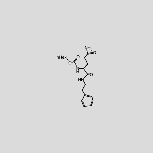 CCCCCCOC(=O)N[C@@H](CCC(N)=O)C(=O)NCCc1ccccc1